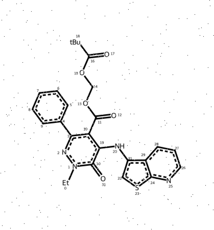 CCn1nc(-c2ccccc2)c(C(=O)OCOC(=O)C(C)(C)C)c(Nc2csc3ncccc23)c1=O